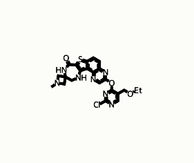 CCOCc1cnc(Cl)nc1Oc1cnc2c(ccc3sc4c(c32)NCC2(CN(C)C2)NC4=O)n1